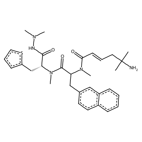 CN(C)NC(=O)[C@@H](Cc1cccs1)N(C)C(=O)C(Cc1ccc2ccccc2c1)N(C)C(=O)/C=C/CC(C)(C)N